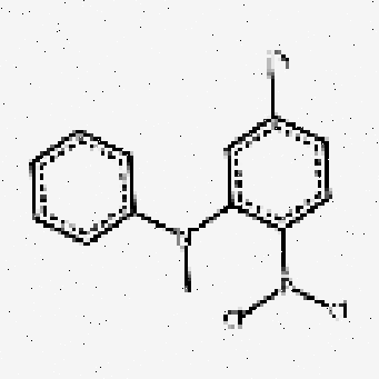 CC(C)c1ccc(P(Cl)Cl)c(N(C)c2ccccc2)c1